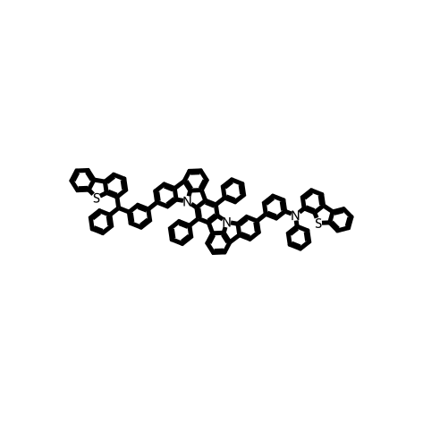 c1ccc(-c2c3c4cccc5c6ccc(-c7cccc(C(c8ccccc8)c8cccc9c8sc8ccccc89)c7)cc6n(c3c(-c3ccccc3)c3c6cccc7c8ccc(-c9cccc(N(c%10ccccc%10)c%10cccc%11c%10sc%10ccccc%10%11)c9)cc8n(c23)c76)c54)cc1